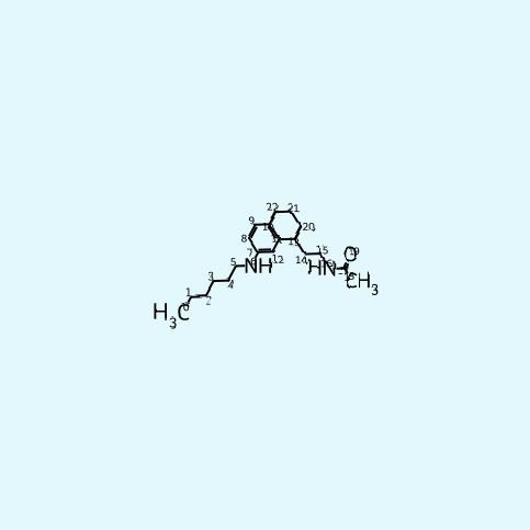 CCCCCCNc1ccc2c(c1)C(CCNC(C)=O)CCC2